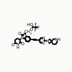 Cn1c(=O)n(C2CCC(=O)NC2=O)c2ccc(C#Cc3cnc(N4CC5(CCCNC5)C4)nc3)cc21.O=C(O)C(F)(F)F